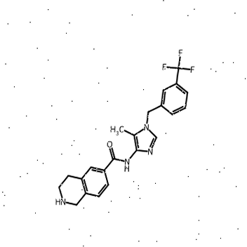 Cc1c(NC(=O)c2ccc3c(c2)CCNC3)ncn1Cc1cccc(C(F)(F)F)c1